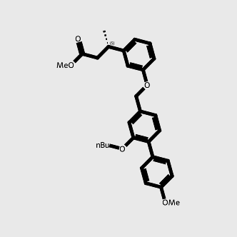 CCCCOc1cc(COc2cccc([C@@H](C)CC(=O)OC)c2)ccc1-c1ccc(OC)cc1